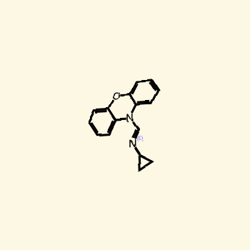 C(=N\C1CC1)/N1c2ccccc2Oc2ccccc21